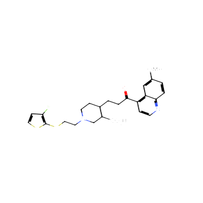 COc1ccc2nccc(C(=O)CCC3CCN(CCSc4sccc4F)CC3C(=O)O)c2c1